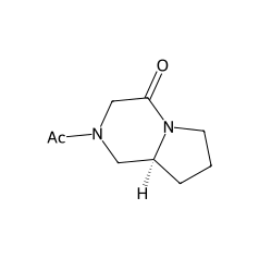 CC(=O)N1CC(=O)N2CCC[C@H]2C1